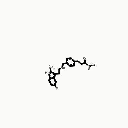 Cc1[nH]c2ccc(F)cc2c1CCNCc1ccc(CCC(=O)NO)cc1